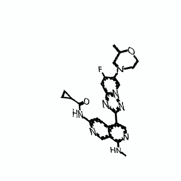 CNc1ncc(-c2nc3cc(F)c(N4CCOC(C)C4)cn3n2)c2cc(NC(=O)C3CC3)ncc12